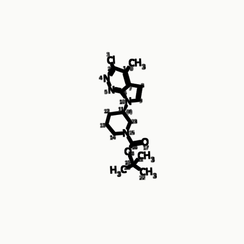 Cc1c(Cl)nnc2c1ccn2[C@@H]1CCCN(C(=O)OC(C)(C)C)C1